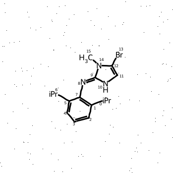 CC(C)c1cccc(C(C)C)c1N=c1[nH]cc(Br)n1C